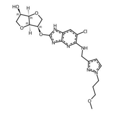 COCCCn1ccc(CNc2nc3nc(O[C@@H]4CO[C@H]5[C@@H]4OC[C@H]5O)[nH]c3cc2Cl)n1